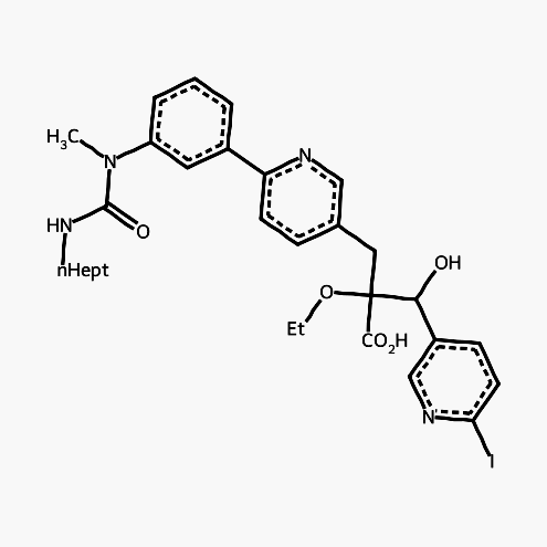 CCCCCCCNC(=O)N(C)c1cccc(-c2ccc(CC(OCC)(C(=O)O)C(O)c3ccc(I)nc3)cn2)c1